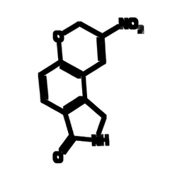 O=C1NCc2c1ccc1c2C=C([N+](=O)[O-])CO1